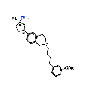 CC[C@@]1(N)CC[C@H](c2ccc3c(c2)CC[C@H](CCCCc2cccc(OC)c2)C3)C1